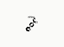 CCCCCCN=CC(CC)N1CCN(c2ccccn2)CC1